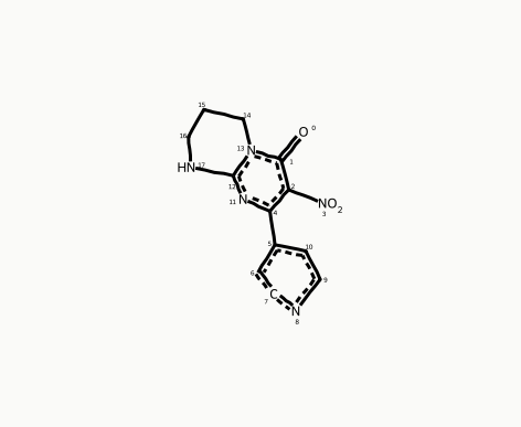 O=c1c([N+](=O)[O-])c(-c2ccncc2)nc2n1CCCN2